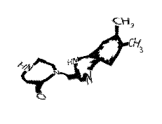 Cc1cc2nc(CN3CCNCC3=O)[nH]c2cc1C